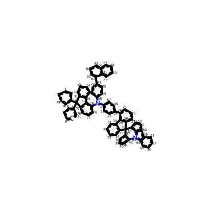 c1ccc(C2(c3ccccc3)c3ccccc3-c3c(N(c4ccc(-c5cccc6c5-c5ccccc5C65c6ccccc6-n6c7ccccc7c7cccc5c76)cc4)c4ccc(-c5cccc6ccccc56)cc4)cccc32)cc1